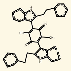 O=C1C(O)=C(c2c(CCc3ccccc3)[nH]c3ccccc23)C(=O)C(O)=C1c1c(CCc2ccccc2)[nH]c2ccccc12